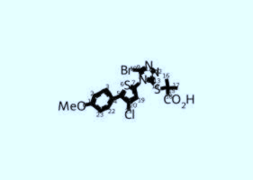 COc1ccc(-c2sc(-n3c(Br)nnc3SC(C)(C)C(=O)O)cc2Cl)cc1